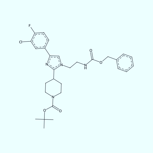 CC(C)(C)OC(=O)N1CCC(c2nc(-c3ccc(F)c(Cl)c3)cn2CCNC(=O)OCc2ccccc2)CC1